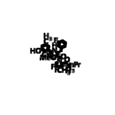 CCCNC(=O)C1N(C(=O)[C@@H](OC)[C@H](Cc2cccc(F)c2)NC(=O)c2cc(C)cc(O)c2C)CC(F)(F)C1(C)C